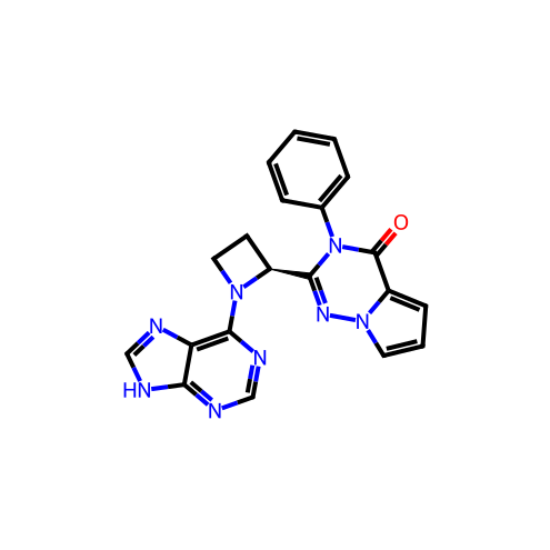 O=c1c2cccn2nc([C@@H]2CCN2c2ncnc3[nH]cnc23)n1-c1ccccc1